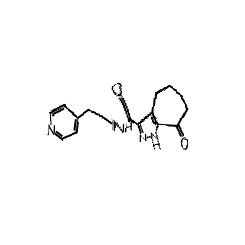 O=C(NCc1ccncc1)c1n[nH]c2c1CCCCC2=O